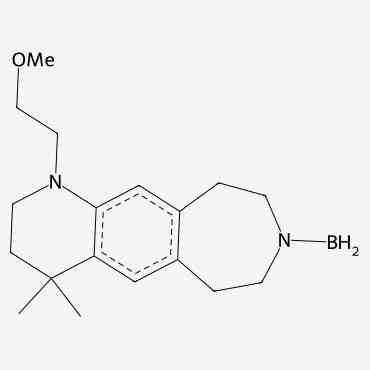 BN1CCc2cc3c(cc2CC1)C(C)(C)CCN3CCOC